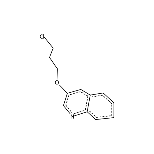 ClCCCOc1cnc2ccccc2c1